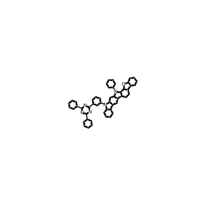 c1ccc(-c2nc(-c3ccccc3)nc(-c3cccc(-n4c5ccccc5c5cc6c7ccc8c9ccccc9oc8c7n(-c7ccccc7)c6cc54)c3)n2)cc1